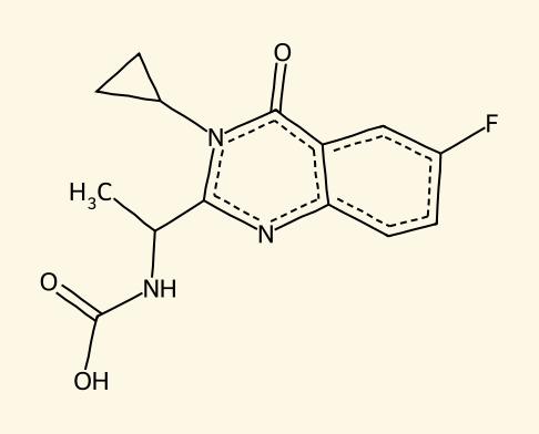 CC(NC(=O)O)c1nc2ccc(F)cc2c(=O)n1C1CC1